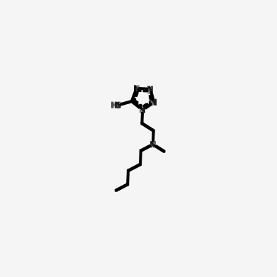 CCCCCN(C)CCn1nnnc1S